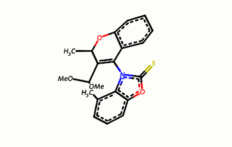 COC(OC)C1=C(n2c(=S)oc3cccc(C)c32)c2ccccc2OC1C